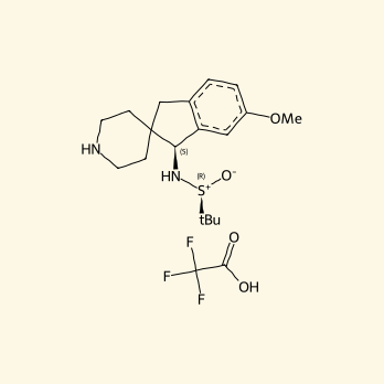 COc1ccc2c(c1)[C@@H](N[S@@+]([O-])C(C)(C)C)C1(CCNCC1)C2.O=C(O)C(F)(F)F